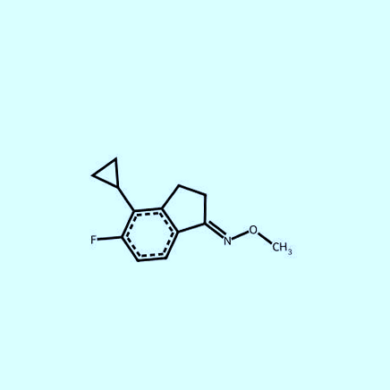 CON=C1CCc2c1ccc(F)c2C1CC1